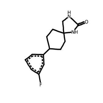 O=C1NCC2(CCC(c3cccc(F)c3)CC2)N1